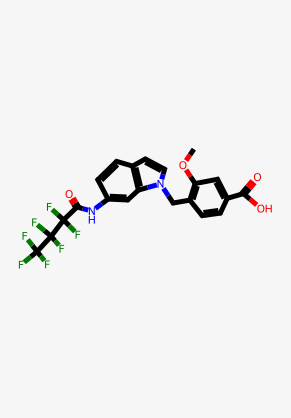 COc1cc(C(=O)O)ccc1Cn1ccc2ccc(NC(=O)C(F)(F)C(F)(F)C(F)(F)F)cc21